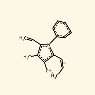 C=Cc1c(C)c(C)c(/C=C\C)n1-c1ccccc1